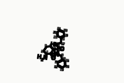 N[C@H]1CCCN(P(=O)(NCc2ccccc2)NCc2ccccc2)C1=O